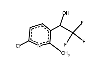 Cc1nc(Cl)ccc1C(O)C(F)(F)F